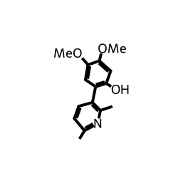 COc1cc(O)c(-c2ccc(C)nc2C)cc1OC